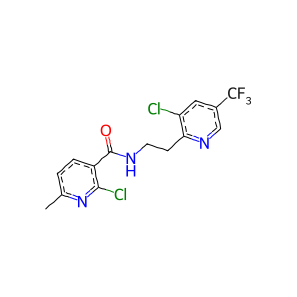 Cc1ccc(C(=O)NCCc2ncc(C(F)(F)F)cc2Cl)c(Cl)n1